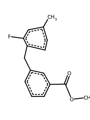 COC(=O)c1cccc(Cc2ccc(C)cc2F)c1